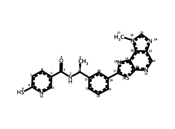 C[C@H](NC(=O)c1ccc(S)nc1)c1cccc(-c2nc3c(ncc4ncn(C)c43)s2)c1